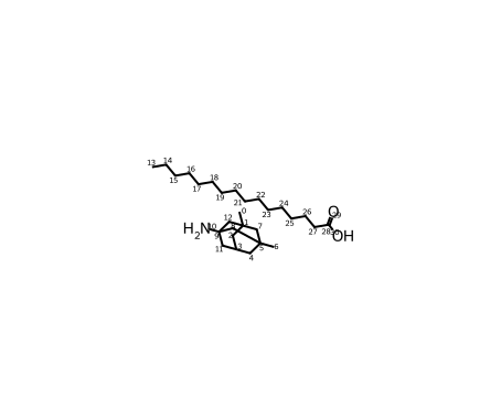 CC12CC3CC(C)(C1)CC(N)(C3)C2.CCCCCCCCCCCCCCCC(=O)O